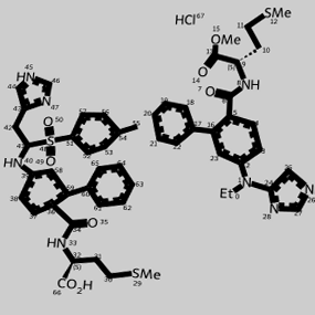 CCN(c1ccc(C(=O)N[C@@H](CCSC)C(=O)OC)c(-c2ccccc2)c1)c1c[nH]cn1.CSCC[C@H](NC(=O)c1ccc(NC(Cc2c[nH]cn2)S(=O)(=O)c2ccc(C)cc2)cc1-c1ccccc1)C(=O)O.Cl